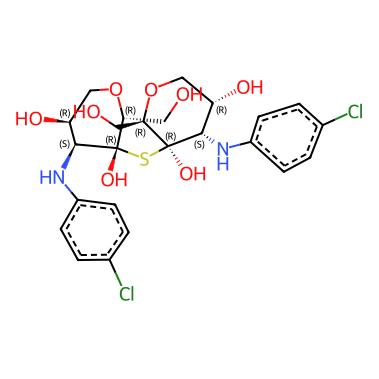 OC[C@H]1OC[C@H](O)[C@H](Nc2ccc(Cl)cc2)[C@@]1(O)S[C@@]1(O)[C@@H](CO)OC[C@H](O)[C@@H]1Nc1ccc(Cl)cc1